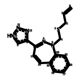 C=CCSCN1N=C(c2c[nH]nn2)C=Cc2ccccc21